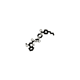 CCCCc1ccc(C(=O)N2CCN(C(=O)CNC(=O)c3cc(OC)c4ccccc4n3)CC2)cc1